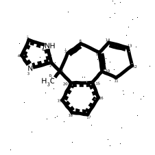 CC1(c2ncc[nH]2)C=CC2=C(CCC=C2)c2ccccc21